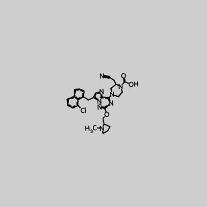 CN1CCCC1COc1nc(N2CCN(C(=O)O)C(CC#N)C2)c2ncc(Cc3cccc4cccc(Cl)c34)n2n1